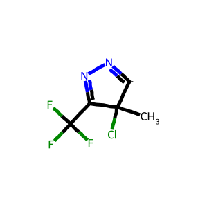 CC1(Cl)[C]=NN=C1C(F)(F)F